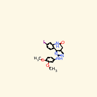 COc1ccc(Nc2ncc3c(n2)-c2ccc(I)cc2NC(=O)C3)cc1OC